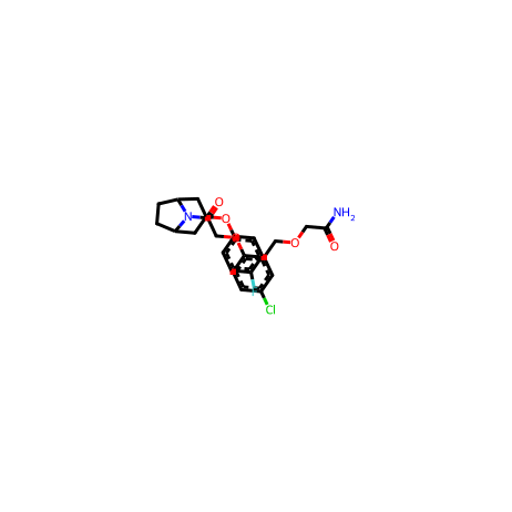 NC(=O)COCc1cc(Cl)ccc1OCC(=O)N1C2CCC1CC(Oc1ccc(F)cc1)C2